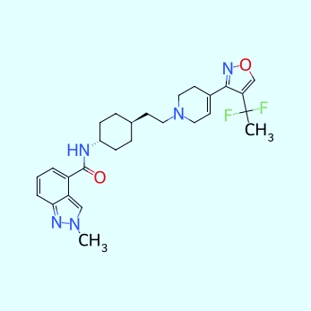 Cn1cc2c(C(=O)N[C@H]3CC[C@H](CCN4CC=C(c5nocc5C(C)(F)F)CC4)CC3)cccc2n1